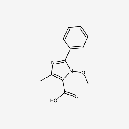 COn1c(-c2ccccc2)nc(C)c1C(=O)O